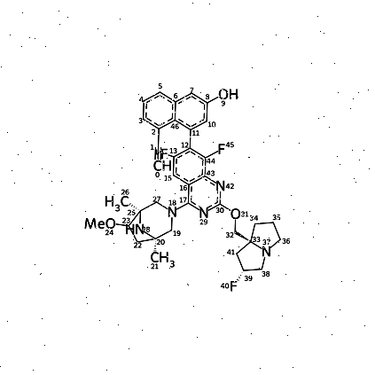 C#Cc1cccc2cc(O)cc(-c3c(F)cc4c(N5C[C@@]6(C)CC(OC)[C@@](C)(C5)N6)nc(OC[C@@]56CCCN5C[C@H](F)C6)nc4c3F)c12